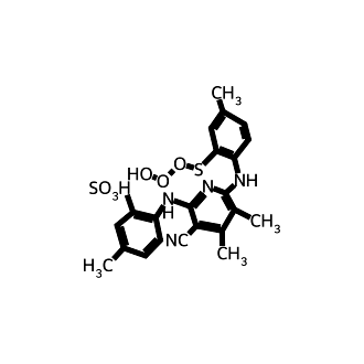 Cc1ccc(Nc2nc(Nc3ccc(C)cc3S(=O)(=O)O)c(C#N)c(C)c2C)c(SOOO)c1